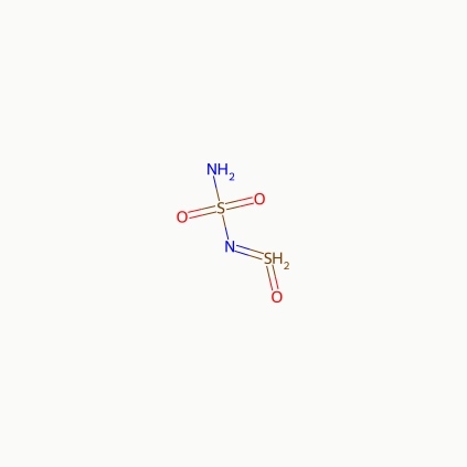 NS(=O)(=O)N=[SH2]=O